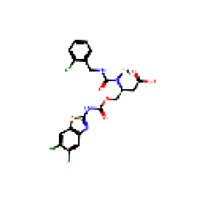 CN(C(=O)NCc1ccccc1Cl)[C@H](COC(=O)Nc1nc2cc(F)c(F)cc2s1)CC(=O)O